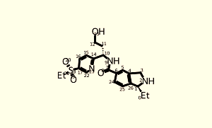 CC[C@@H]1NCc2cc(C(=O)N[C@@H](CCO)c3ccc(S(=O)(=O)CC)cn3)ccc21